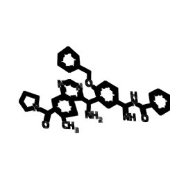 Cc1cc2c(C(N)c3cc(C(=N)NC(=O)c4ccccc4)ccc3OCc3ccccc3)ncnc2cc1C(=O)N1CCCC1